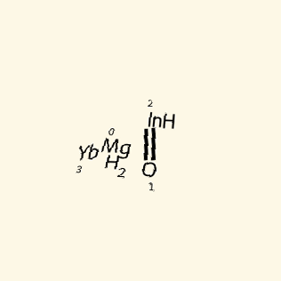 [MgH2].[O]=[InH].[Yb]